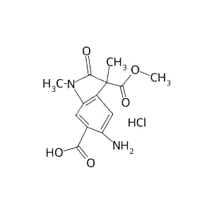 COC(=O)C1(C)C(=O)N(C)c2cc(C(=O)O)c(N)cc21.Cl